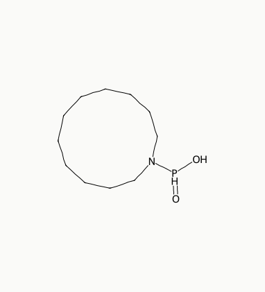 O=[PH](O)N1CCCCCCCCCCC1